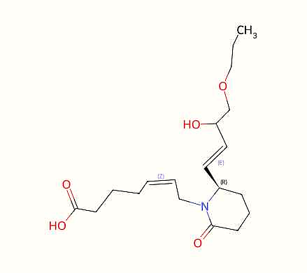 CCCOCC(O)/C=C/[C@H]1CCCC(=O)N1C/C=C\CCCC(=O)O